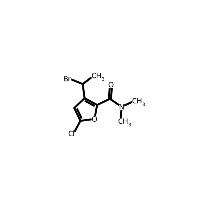 CC(Br)c1cc(Cl)oc1C(=O)N(C)C